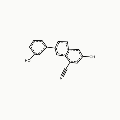 N#Cc1cc(O)cc2ccc(-c3cccc(O)c3)cc12